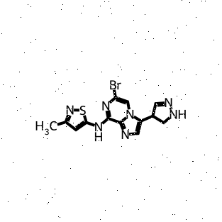 Cc1cc(Nc2nc(Br)cn3c(C4C=NNC4)cnc23)sn1